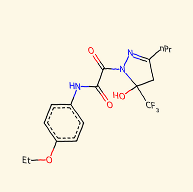 CCCC1=NN(C(=O)C(=O)Nc2ccc(OCC)cc2)C(O)(C(F)(F)F)C1